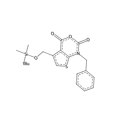 CC(C)(C)[Si](C)(C)OCc1csc2c1c(=O)oc(=O)n2Cc1ccccc1